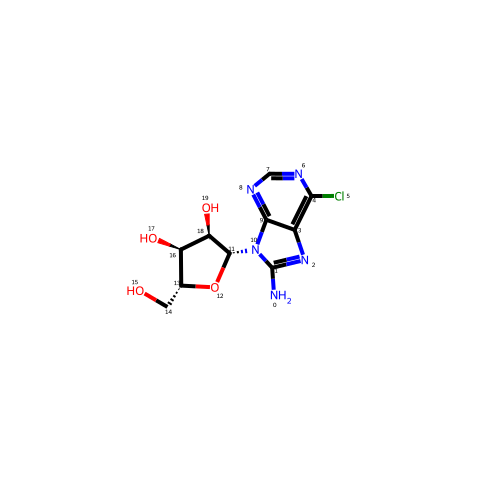 Nc1nc2c(Cl)ncnc2n1[C@@H]1O[C@H](CO)[C@@H](O)[C@H]1O